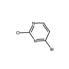 Clc1nccc(Br)n1